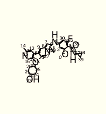 COc1cc(Nc2cc3cc(-c4cc(C)ncc4O[C@H]4CC[C@H](O)CC4)ccn3n2)cc(F)c1C(=O)NC1CC1